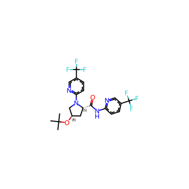 CC(C)(C)O[C@@H]1C[C@@H](C(=O)Nc2ccc(C(F)(F)F)cn2)N(c2ccc(C(F)(F)F)cn2)C1